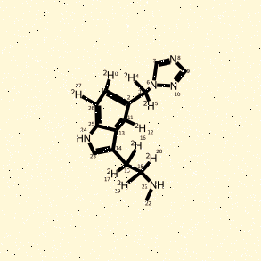 [2H]c1c(C([2H])([2H])n2cncn2)c([2H])c2c(C([2H])([2H])C([2H])([2H])NC)c[nH]c2c1[2H]